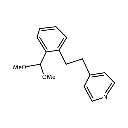 COC(OC)c1ccccc1CCc1ccncc1